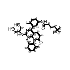 Cc1ccc(NC(=O)CCCC(F)(F)F)cc1-c1nc(NC(CO)CO)nc2c1ccc(=O)n2-c1c(F)cccc1F